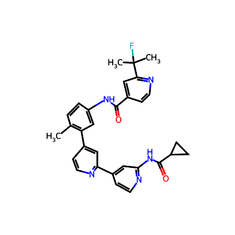 Cc1ccc(NC(=O)c2ccnc(C(C)(C)F)c2)cc1-c1ccnc(-c2ccnc(NC(=O)C3CC3)c2)c1